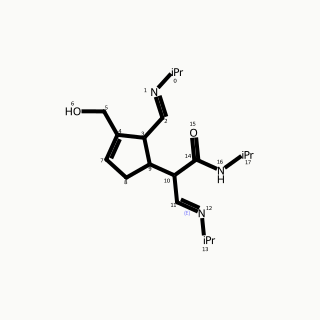 CC(C)N=CC1C(CO)=CCC1C(/C=N/C(C)C)C(=O)NC(C)C